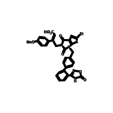 CCOC(=O)C=C(Cn1c(=O)c2cc(CC)sc2n(Cc2ccc(-c3ccccc3-c3noc(=O)[nH]3)cc2)c1=O)c1ccc(OC)cc1